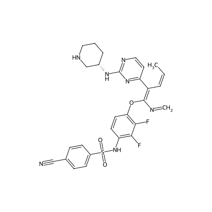 C=N/C(Oc1ccc(NS(=O)(=O)c2ccc(C#N)cc2)c(F)c1F)=C(\C=C/C)c1ccnc(N[C@H]2CCCNC2)n1